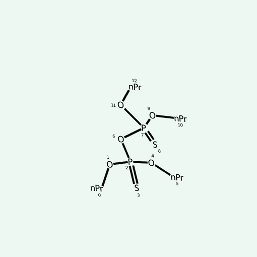 CCCOP(=S)(OCCC)OP(=S)(OCCC)OCCC